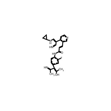 CC(=N)/C(=C(/C)O)c1ccc(NC(=O)/C=C/c2cnccc2/C(C=N)=C/NC2CC2)c(F)c1